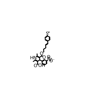 CSc1ccc(C=CCCCOC(=O)C2=C(C)NC(C)=C(C(=O)O)C2c2cccc([N+](=O)[O-])c2)cc1